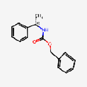 C[C@H](NC(=O)OCc1ccccc1)c1ccccc1